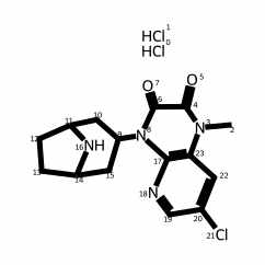 Cl.Cl.Cn1c(=O)c(=O)n(C2CC3CCC(C2)N3)c2ncc(Cl)cc21